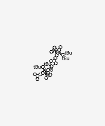 CC(C)(C)c1cc(N2c3cc4cc5c(cc4cc3B3c4c2cc2ccccc2c4-c2cccc4c6ccccc6n3c24)c2ccccc2c2c(-c3ccc4c(c3)oc3c6c7c(cc34)N(c3cc(C(C)(C)C)cc(C(C)(C)C)c3)c3cc4cc8c9ccccc9c9ccccc9c8cc4cc3B7n3c4ccccc4c4cccc-6c43)cccc52)cc(C(C)(C)C)c1